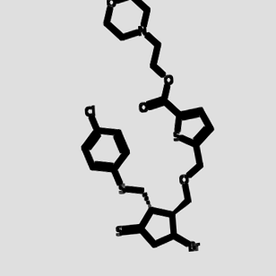 O=C(OCCN1CCOCC1)c1ccc(COC[C@H]2C(Br)CC(=S)[C@@H]2CSc2ccc(Cl)cc2)s1